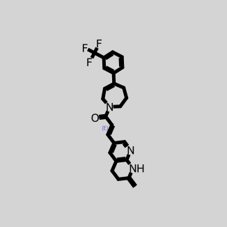 C=C1CCc2cc(/C=C/C(=O)N3CC=C(c4cccc(C(F)(F)F)c4)CCC3)cnc2N1